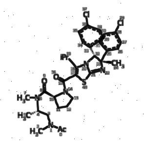 CC(=O)N(C)C[C@H](C)N(C)C(=O)[C@@H]1CCCN1C(=O)C1=C(C(C)C)N2C(=N[C@@](C)(c3ccc(Cl)cc3)[C@H]2c2ccc(Cl)cc2)S1